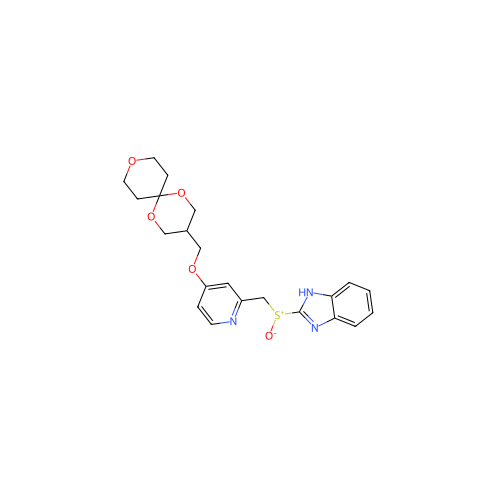 [O-][S+](Cc1cc(OCC2COC3(CCOCC3)OC2)ccn1)c1nc2ccccc2[nH]1